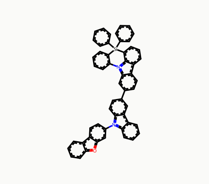 c1ccc([Si]2(c3ccccc3)c3ccccc3-n3c4cc(-c5ccc6c(c5)c5ccccc5n6-c5ccc6c(c5)oc5ccccc56)ccc4c4cccc2c43)cc1